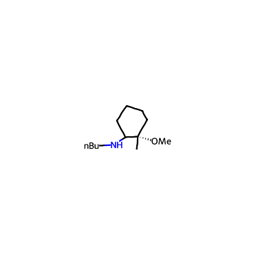 CCCCNC1CCCC[C@]1(C)OC